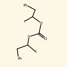 CC(C)CC(I)OC(=O)OC(I)CC(C)C